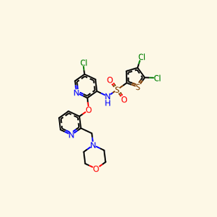 O=S(=O)(Nc1cc(Cl)cnc1Oc1cccnc1CN1CCOCC1)c1cc(Cl)c(Cl)s1